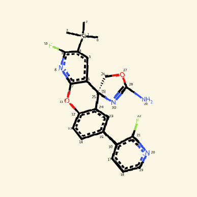 C[Si](C)(C)c1cc2c(nc1F)Oc1ccc(-c3cccnc3F)cc1[C@@]21COC(N)=N1